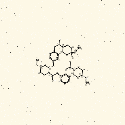 CC(Cc1ccc(C[C@H]2C[C@@H](CN)CCN2C(C)Cc2cccc([C@H]3C[C@H](CN)CCN3C(C)C)c2)cc1)N1CCC(C)([C@@H](C)N)CC1